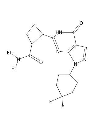 CCN(CC)C(=O)C1CCC1c1nc2c(cnn2C2CCC(F)(F)CC2)c(=O)[nH]1